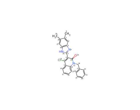 Cc1cc2nc(-c3c(Cl)c4ccccc4n(Cc4ccccc4)c3=O)[nH]c2cc1C